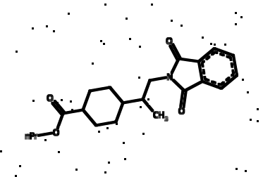 CCCOC(=O)C1CCC(C(C)CN2C(=O)c3ccccc3C2=O)CC1